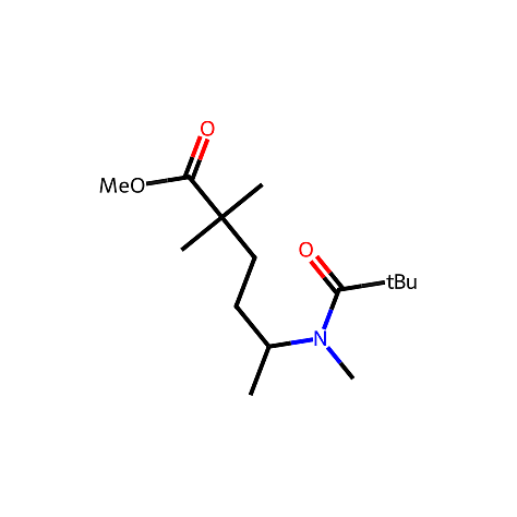 COC(=O)C(C)(C)CCC(C)N(C)C(=O)C(C)(C)C